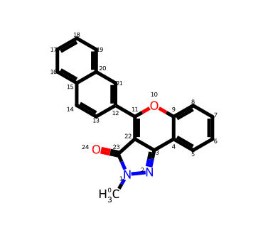 Cn1nc2c3ccccc3oc(-c3ccc4ccccc4c3)c-2c1=O